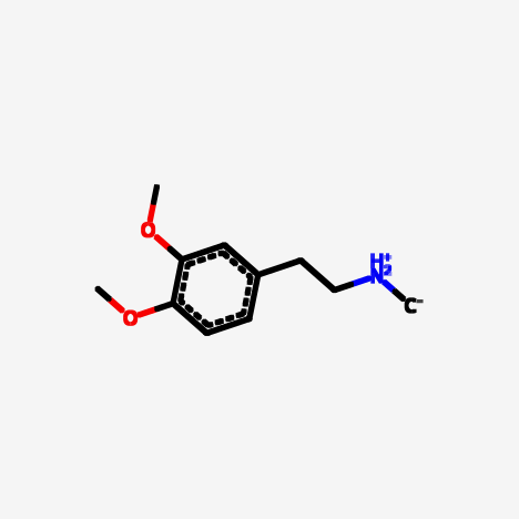 [CH2-][NH2+]CCc1ccc(OC)c(OC)c1